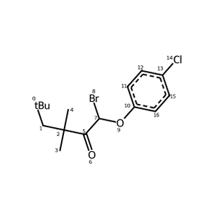 CC(C)(C)CC(C)(C)C(=O)C(Br)Oc1ccc(Cl)cc1